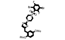 COc1ccc(OC)c(Cc2csc(N3CCN(S(=O)(=O)c4c(F)c(Br)cc(F)c4Br)CC3)n2)c1